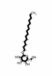 CCCCCCCCCCCCCCCO[C@H]1O[C@H](CO)[C@@H](O)[C@H](O)[C@H]1O